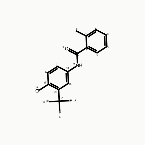 Cc1ccccc1C(=O)Nc1ccc(Cl)c(C(F)(F)F)c1